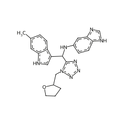 Cc1ccc2c(C(Nc3ccc4[nH]cnc4c3)c3nnnn3CC3CCCO3)c[nH]c2c1